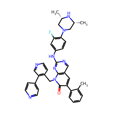 Cc1ccccc1-c1cc2cnc(Nc3ccc(N4C[C@@H](C)N[C@@H](C)C4)c(F)c3)nc2n(Cc2ccncc2-c2ccncc2)c1=O